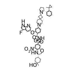 CC1(O)CCC([C@H]2COc3cc(S(=O)(=O)NC(=O)c4ccc(N5CCC6(CC5)CC(N5CCC[C@@H]5c5ccccc5C5(C)CC5)C6)cc4Oc4cnc5[nH]cc(F)c5c4)cc([N+](=O)[O-])c3N2)CC1